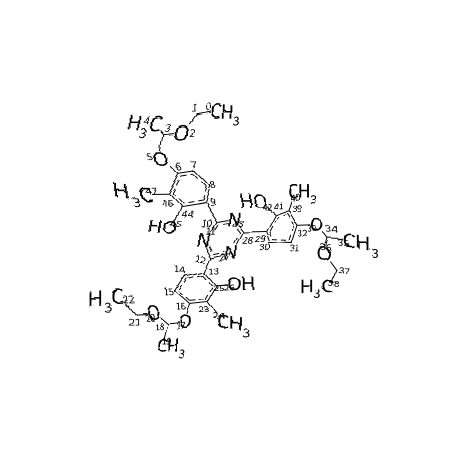 CCOC(C)Oc1ccc(-c2nc(-c3ccc(OC(C)OCC)c(C)c3O)nc(-c3ccc(OC(C)OCC)c(C)c3O)n2)c(O)c1C